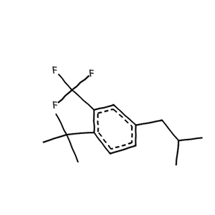 CC(C)Cc1ccc(C(C)(C)C)c(C(F)(F)F)c1